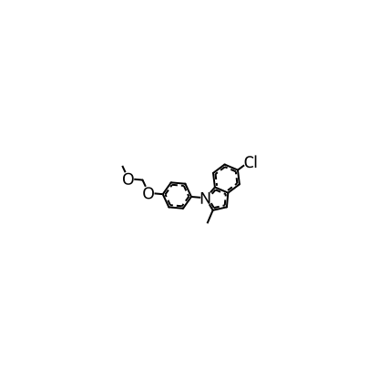 COCOc1ccc(-n2c(C)cc3cc(Cl)ccc32)cc1